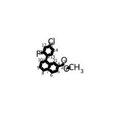 COC(=O)c1ccc2cccc(-c3ccc(Cl)cc3F)c2c1